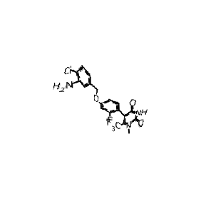 Cn1c(C(F)(F)F)c(-c2ccc(OCc3ccc(Cl)c(N)c3)cc2F)c(=O)[nH]c1=O